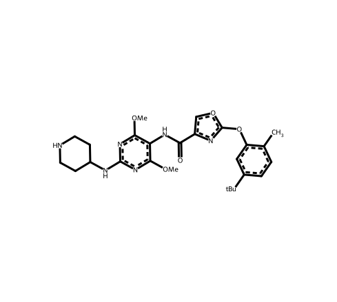 COc1nc(NC2CCNCC2)nc(OC)c1NC(=O)c1coc(Oc2cc(C(C)(C)C)ccc2C)n1